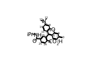 C=c1ccc2c(c1)Oc1cc(N(C)C)ccc1C=2c1cc(C(=O)NC(C)C)ccc1C(=O)O